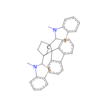 CN1c2ccccc2SC1C12CCC(C3Sc4ccccc4N3C)(CC1)C21c2ccccc2-c2ccccc21